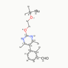 Cc1nc(OCCO[Si](C)(C)C(C)(C)C)nc(C)c1-c1cccc(C=O)c1C